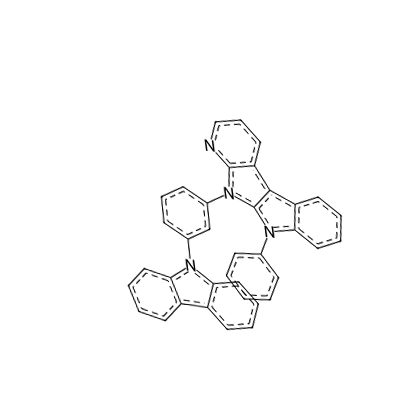 c1ccc(-n2c3ccccc3c3c4cccnc4n(-c4cccc(-n5c6ccccc6c6ccccc65)c4)c32)cc1